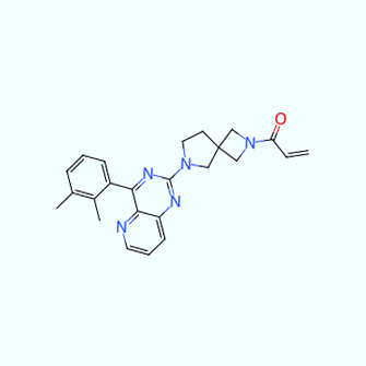 C=CC(=O)N1CC2(CCN(c3nc(-c4cccc(C)c4C)c4ncccc4n3)C2)C1